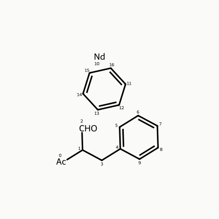 CC(=O)C(C=O)Cc1ccccc1.[Nd].c1ccccc1